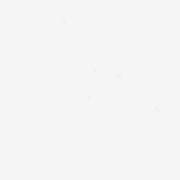 CCc1cnc(-c2cnc(N(C(=O)C3CCNCC3)S(=O)(=O)c3ccc(Cl)s3)c(NC(C)=O)c2)o1